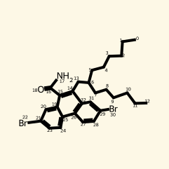 CCCCCCC(CCCCCC)Cc1c(C(N)=O)c2cc(Br)ccc2c2ccc(Br)cc12